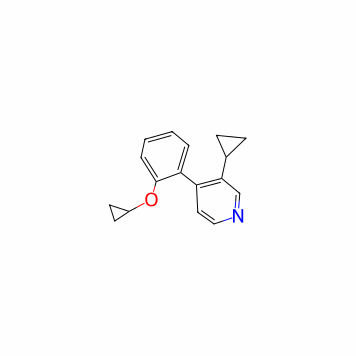 c1ccc(-c2ccncc2C2CC2)c(OC2CC2)c1